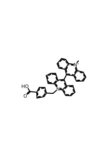 C[n+]1c2ccccc2c(-c2c3ccccc3[n+](Cc3ccc(C(=O)O)cc3)c3ccccc23)c2ccccc21